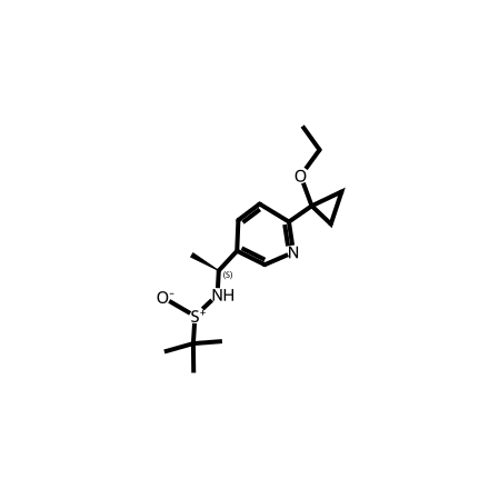 CCOC1(c2ccc([C@H](C)N[S+]([O-])C(C)(C)C)cn2)CC1